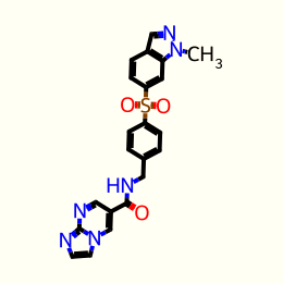 Cn1ncc2ccc(S(=O)(=O)c3ccc(CNC(=O)c4cnc5nccn5c4)cc3)cc21